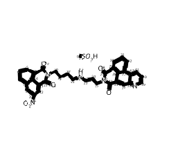 CS(=O)(=O)O.O=C1c2cccc3cc([N+](=O)[O-])cc(c23)C(=O)N1CCCCNCCCN1C(=O)c2cccc3c2c(cc2ncccc23)C1=O